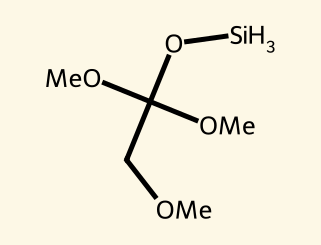 COCC(OC)(OC)O[SiH3]